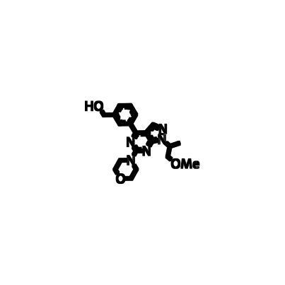 COCC(C)n1ncc2c(-c3cccc(CO)c3)nc(N3CCOCC3)nc21